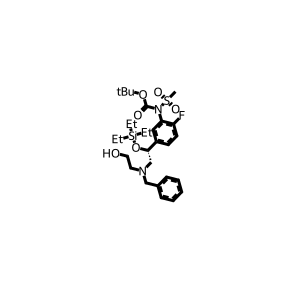 CC[Si](CC)(CC)O[C@@H](CN(CCO)Cc1ccccc1)c1ccc(F)c(N(C(=O)OC(C)(C)C)S(C)(=O)=O)c1